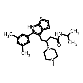 Cc1cc(C)cc(-c2[nH]c3sccc3c2CC(CC(=O)NC(C)C)N2CCNCC2)c1